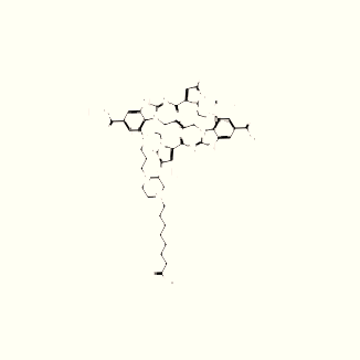 CCn1nc(C)cc1C(=O)/N=c1/[nH]c2cc(C(N)=O)cc(OC)c2n1C/C=C/Cn1/c(=N\C(=O)c2cc(C)nn2CC)[nH]c2cc(C(N)=O)cc(OCCCN3CCN(CCCCCCCC(=O)O)CC3)c21